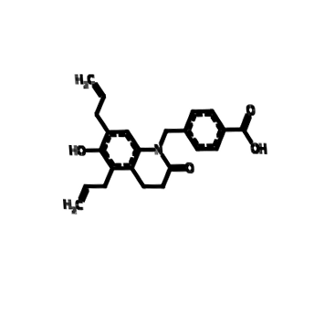 C=CCc1cc2c(c(CC=C)c1O)CCC(=O)N2Cc1ccc(C(=O)O)cc1